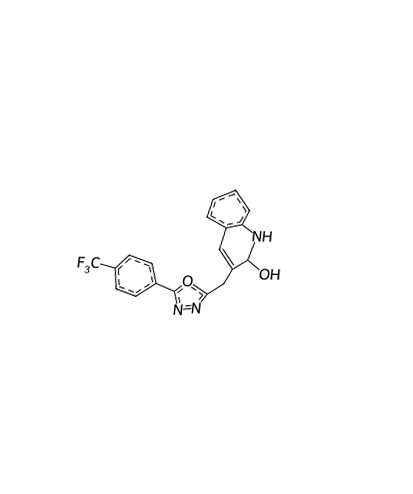 OC1Nc2ccccc2C=C1Cc1nnc(-c2ccc(C(F)(F)F)cc2)o1